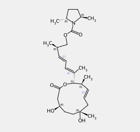 C/C(=C\C=C\[C@@H](C)COC(=O)N1[C@H](C)CC[C@H]1C)[C@H]1OC(=O)C[C@H](O)CC[C@@](C)(O)C/C=C/[C@@H]1C